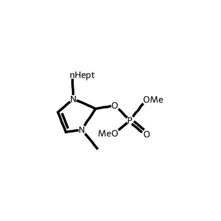 CCCCCCCN1C=CN(C)C1OP(=O)(OC)OC